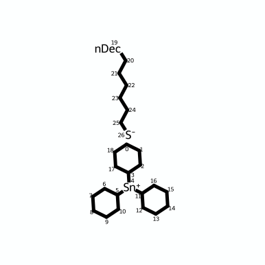 C1CC[CH]([Sn+]([CH]2CCCCC2)[CH]2CCCCC2)CC1.CCCCCCCCCCCCCCCC[S-]